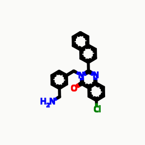 NCc1cccc(Cn2c(-c3ccc4ccccc4c3)nc3ccc(Cl)cc3c2=O)c1